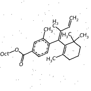 C=CC(C)=C(C1=C(C)CCCC1(C)C)c1ccc(C(=O)OCCCCCCCC)cc1C